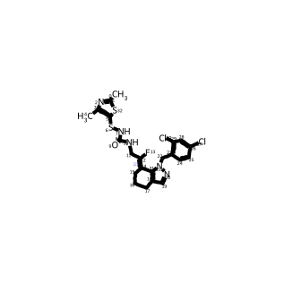 Cc1nc(C)c(SNC(=O)NC/C(F)=C2\CCCc3cnn(Cc4ccc(Cl)cc4Cl)c32)s1